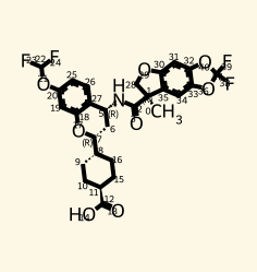 C[C@]1(C(=O)N[C@@H]2C[C@H]([C@H]3CC[C@H](C(=O)O)CC3)Oc3cc(OC(F)F)ccc32)COc2cc3c(cc21)OC(F)(F)O3